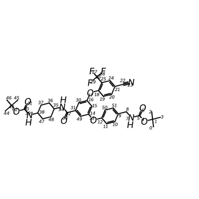 CC(C)(C)OC(=O)NCc1ccc(Oc2cc(Oc3ccc(C#N)cc3C(F)(F)F)cc(C(=O)NC3CCC(NC(=O)OC(C)(C)C)CC3)c2)cc1